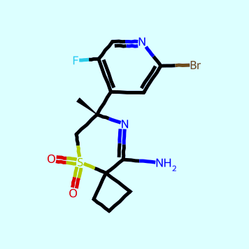 C[C@]1(c2cc(Br)ncc2F)CS(=O)(=O)C2(CCC2)C(N)=N1